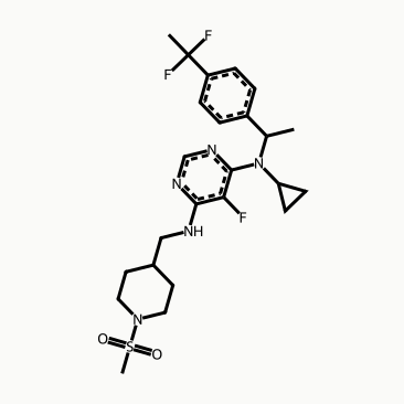 CC(c1ccc(C(C)(F)F)cc1)N(c1ncnc(NCC2CCN(S(C)(=O)=O)CC2)c1F)C1CC1